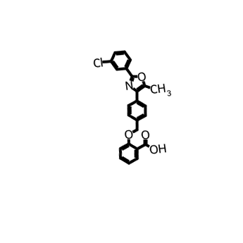 Cc1oc(-c2cccc(Cl)c2)nc1-c1ccc(COc2ccccc2C(=O)O)cc1